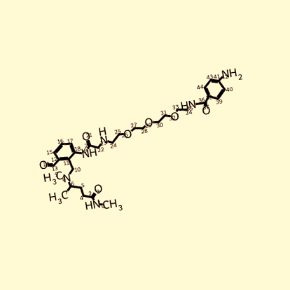 CNC(=O)CCC(C)N(C)Cc1c(C=O)cccc1NC(=O)CNCCOCCOCCOCCNC(=O)c1ccc(N)cc1